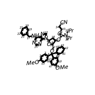 COc1ccc(C(OC[C@H]2O[C@@H](n3cnc4c(NCc5ccccc5)ncnc43)C[C@@H]2OP(OCCC#N)N(C(C)C)C(C)C)(c2ccccc2)c2ccc(OC)cc2)cc1